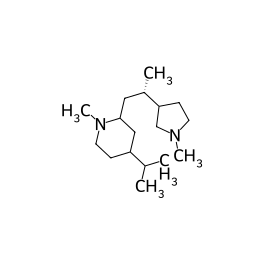 CC(C)C1CCN(C)C(C[C@H](C)C2CCN(C)C2)C1